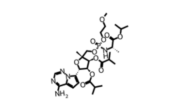 COCCOP(=O)(N[C@@H](C)C(=O)OC(C)C)OC[C@@]1(C)O[C@@H](c2ccc3c(N)ncnn23)[C@H](OC(=O)C(C)C)[C@@H]1OC(=O)C(C)C